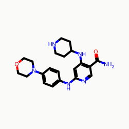 NC(=O)c1cnc(Nc2ccc(N3CCOCC3)cc2)cc1NC1CCNCC1